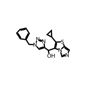 OC(c1cn(Cc2ccccc2)nn1)c1c(C2CC2)sc2cncn12